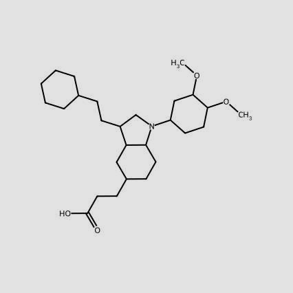 COC1CCC(N2CC(CCC3CCCCC3)C3CC(CCC(=O)O)CCC32)CC1OC